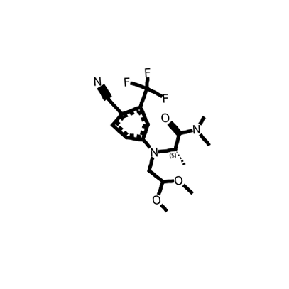 COC(CN(c1ccc(C#N)c(C(F)(F)F)c1)[C@@H](C)C(=O)N(C)C)OC